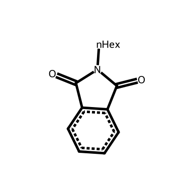 CCCCCCN1C(=O)c2ccccc2C1=O